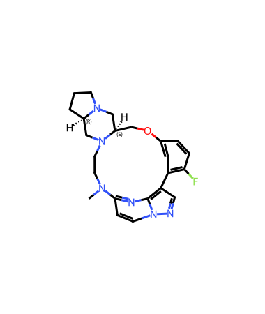 CN1CCN2C[C@H]3CCCN3C[C@H]2COc2ccc(F)c(c2)-c2cnn3ccc1nc23